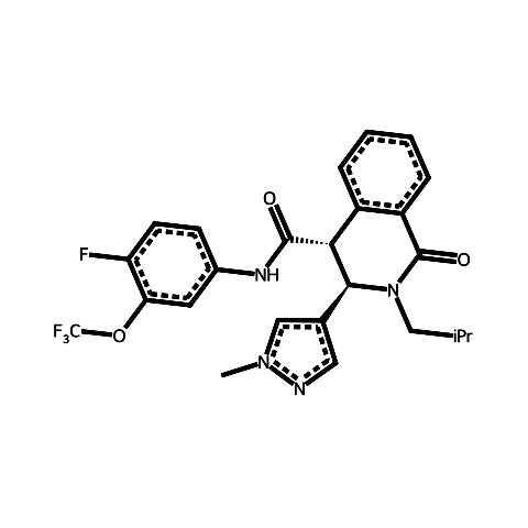 CC(C)CN1C(=O)c2ccccc2[C@@H](C(=O)Nc2ccc(F)c(OC(F)(F)F)c2)[C@@H]1c1cnn(C)c1